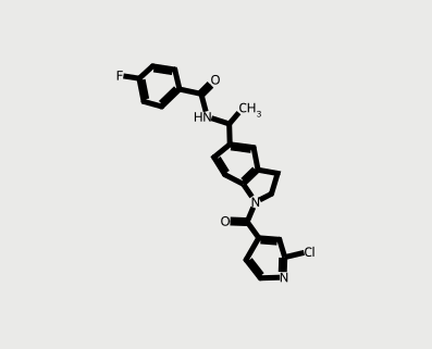 CC(NC(=O)c1ccc(F)cc1)c1ccc2c(c1)CCN2C(=O)c1ccnc(Cl)c1